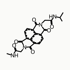 CNC(=O)CN1C(=O)c2ccc3c4c(ccc(c24)C1=O)C(=O)N(CC(=O)NC(C)C)C3=O